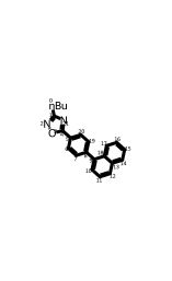 CCCCc1noc(-c2ccc(-c3cccc4ccccc34)cc2)n1